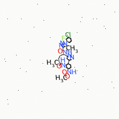 COC(=O)Nc1ccc2c(c1)NC(=O)[C@H](C)CCC[C@H](NC(=O)c1nnn(-c3cccc(Cl)c3F)c1C)c1cc-2cnn1